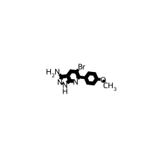 COc1ccc(-c2nc3[nH]nc(N)c3cc2Br)cc1